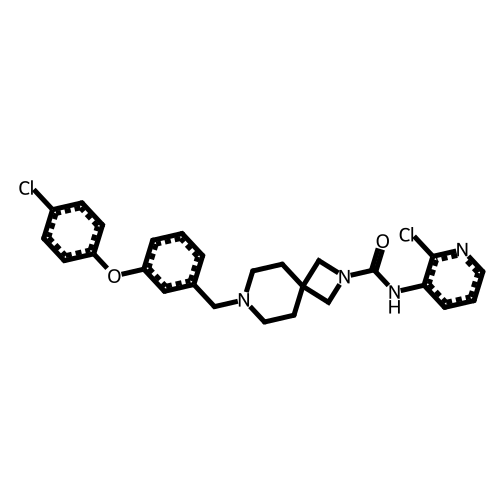 O=C(Nc1cccnc1Cl)N1CC2(CCN(Cc3cccc(Oc4ccc(Cl)cc4)c3)CC2)C1